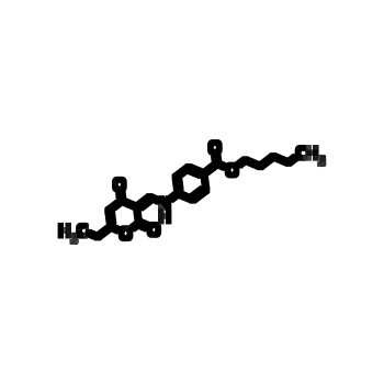 CCCCCOC(=O)c1ccc(NC=C2C(=O)C=C(CC)OC2=O)cc1